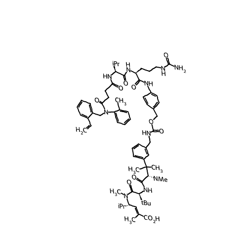 C=Cc1ccccc1CN(C(=O)CCC(=O)N[C@H](C(=O)N[C@@H](CCCNC(N)=O)C(=O)Nc1ccc(COC(=O)NCc2cccc(C(C)(C)[C@H](NC)C(=O)N[C@H](C(=O)N(C)[C@H](/C=C(\C)C(=O)O)C(C)C)C(C)(C)C)c2)cc1)C(C)C)c1ccccc1C